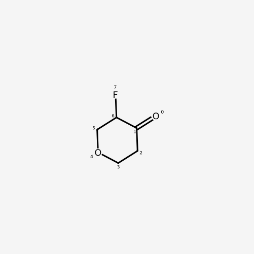 O=C1CCOCC1F